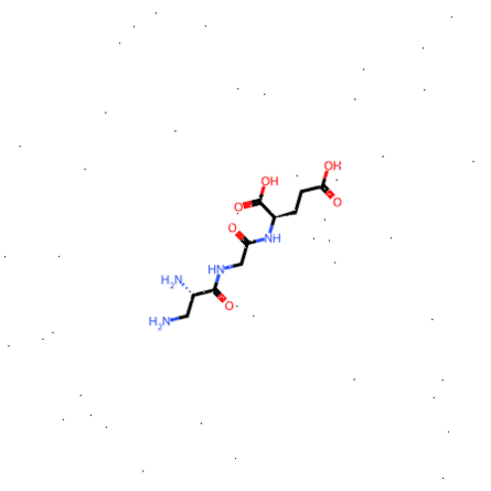 NC[C@H](N)C(=O)NCC(=O)N[C@H](CCC(=O)O)C(=O)O